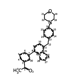 CC(=O)c1cccc(-c2ccc(Cc3ccc(N4CCOCC4)cc3)c3nccn23)c1